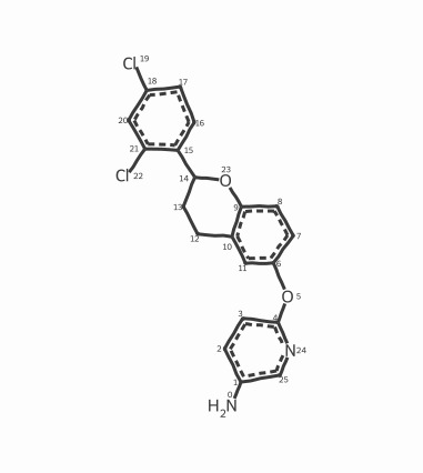 Nc1ccc(Oc2ccc3c(c2)CCC(c2ccc(Cl)cc2Cl)O3)nc1